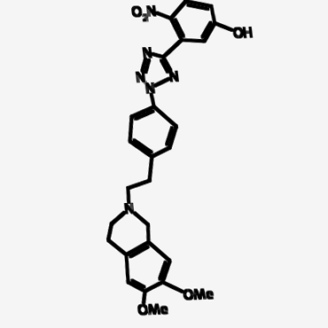 COc1cc2c(cc1OC)CN(CCc1ccc(-n3nnc(-c4cc(O)ccc4[N+](=O)[O-])n3)cc1)CC2